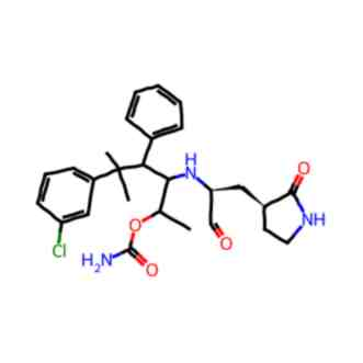 CC(OC(N)=O)C(N[C@H](C=O)C[C@@H]1CCNC1=O)C(c1ccccc1)C(C)(C)c1cccc(Cl)c1